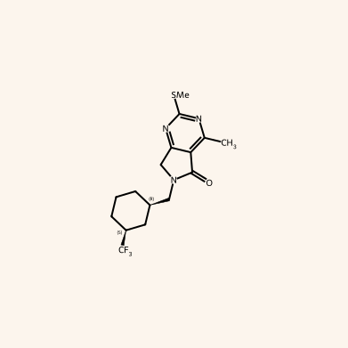 CSc1nc(C)c2c(n1)CN(C[C@@H]1CCC[C@H](C(F)(F)F)C1)C2=O